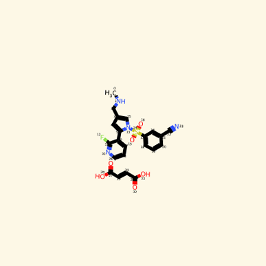 CNCc1cc(-c2cccnc2F)n(S(=O)(=O)c2cccc(C#N)c2)c1.O=C(O)C=CC(=O)O